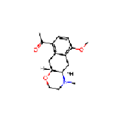 COc1ccc(C(C)=O)c2c1C[C@@H]1[C@@H](C2)OCCN1C